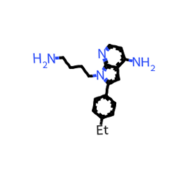 CCc1ccc(-c2cc3c(N)ccnc3n2CCCCN)cc1